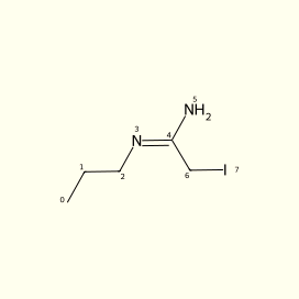 CCC/N=C(/N)CI